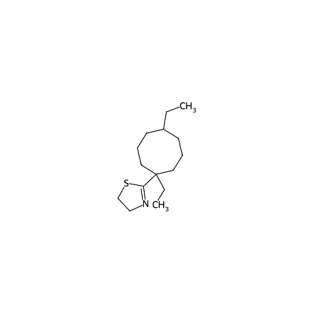 CCC1CCCC(CC)(C2=NCCS2)CCC1